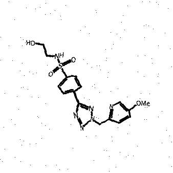 COc1ccc(Cn2nnc(-c3ccc(S(=O)(=O)NCCO)cc3)n2)nc1